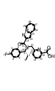 CC[C@H](c1ccc(F)cc1)N(Cc1cccc(C(=O)O)n1)C(=O)c1cc2ccccn2n1